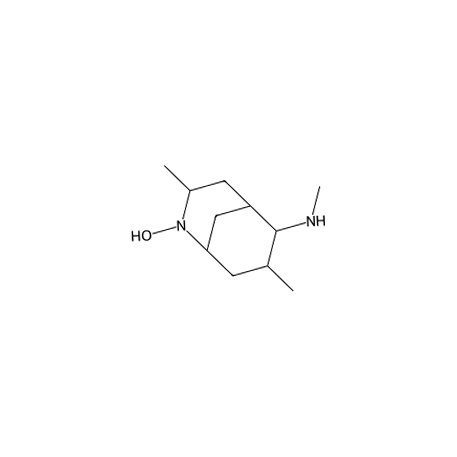 CNC1C(C)CC2CC1CC(C)N2O